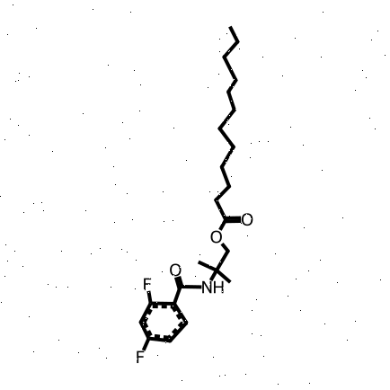 CCCCCCCCCCCC(=O)OCC(C)(C)NC(=O)c1ccc(F)cc1F